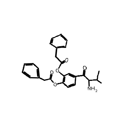 CC(C)C(N)C(=O)c1ccc(OC(=O)Cc2ccccc2)c(OC(=O)Cc2ccccc2)c1